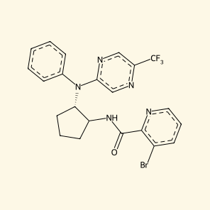 O=C(NC1CCC[C@@H]1N(c1ccccc1)c1cnc(C(F)(F)F)cn1)c1ncccc1Br